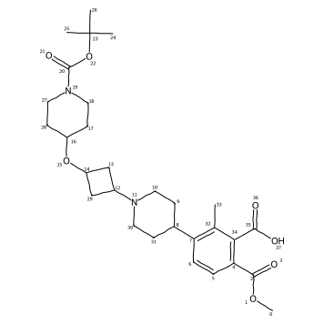 COC(=O)c1ccc(C2CCN(C3CC(OC4CCN(C(=O)OC(C)(C)C)CC4)C3)CC2)c(C)c1C(=O)O